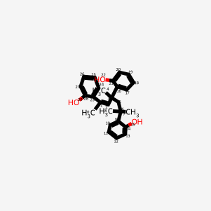 CC(=CC(C)(CC(C)(C)c1ccccc1O)c1ccccc1O)c1ccccc1O